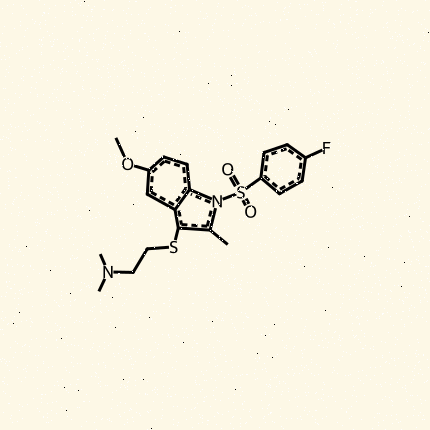 COc1ccc2c(c1)c(SCCN(C)C)c(C)n2S(=O)(=O)c1ccc(F)cc1